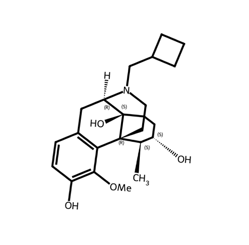 COc1c(O)ccc2c1[C@]13CCN(CC4CCC4)[C@H](C2)[C@]1(O)CC[C@H](O)[C@H]3C